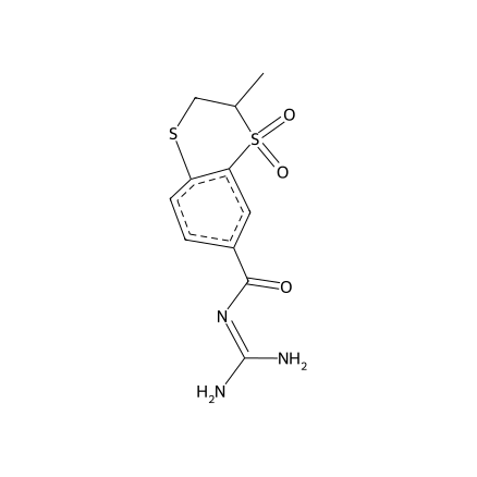 CC1CSc2ccc(C(=O)N=C(N)N)cc2S1(=O)=O